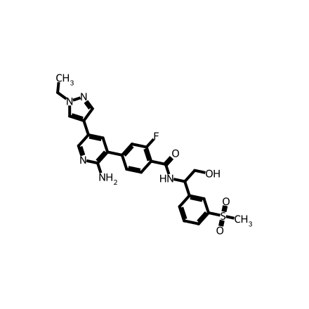 CCn1cc(-c2cnc(N)c(-c3ccc(C(=O)NC(CO)c4cccc(S(C)(=O)=O)c4)c(F)c3)c2)cn1